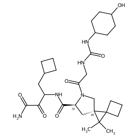 CC1(C)C2(CCC2)[C@@]12C[C@@H](C(=O)NC(CC1CCC1)C(=O)C(N)=O)N(C(=O)CNC(=O)NC1CCC(O)CC1)C2